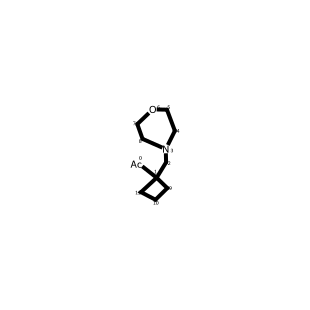 CC(=O)C1(CN2CCOCC2)CCC1